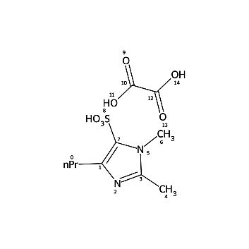 CCCc1nc(C)n(C)c1S(=O)(=O)O.O=C(O)C(=O)O